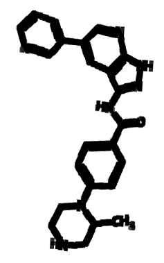 CC1CNCCN1c1ccc(C(=O)Nc2n[nH]c3ncc(-c4cccnc4)cc23)cc1